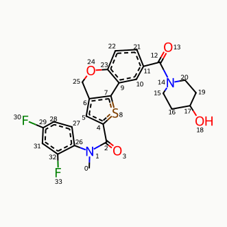 CN(C(=O)c1cc2c(s1)-c1cc(C(=O)N3CCC(O)CC3)ccc1OC2)c1ccc(F)cc1F